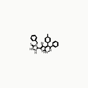 C/N=C(\C(=C1/C(=N)SC(C2NNC(=S)N2Cc2ccccc2)=C1Br)C1C=CC(C)C=C1)c1ccccc1